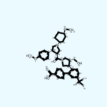 COc1ccc([C@@H]2CN([C@H]3CC[C@H](OC)CC3)C[C@H]2C(=O)N2C[C@H](CO)[C@@H](c3ccc(C(F)(F)F)cc3-c3ccc(C(=O)O)cc3)C2)cc1